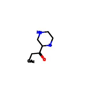 CC(=O)OCC(=O)C1CNCC[N]1